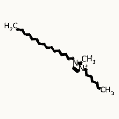 CCCCCCCCCCCCCCCCCn1cc[n+](CCCCCCC)c1C